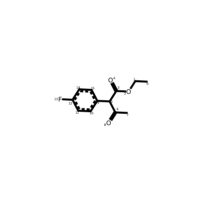 CCOC(=O)C(C(C)=O)c1ccc(F)cc1